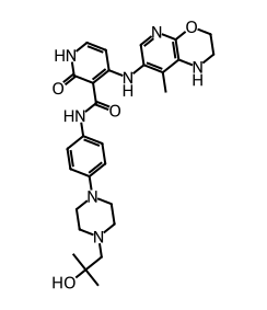 Cc1c(Nc2cc[nH]c(=O)c2C(=O)Nc2ccc(N3CCN(CC(C)(C)O)CC3)cc2)cnc2c1NCCO2